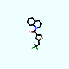 O=C(C1=CSC(CC(F)(F)F)C1)N1CCCC2CCCCC21